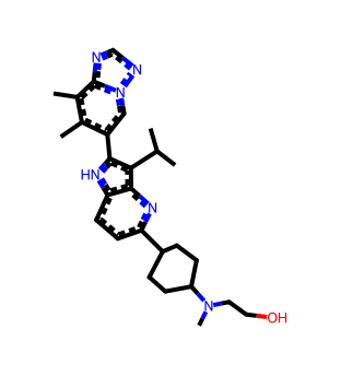 Cc1c(-c2[nH]c3ccc(C4CCC(N(C)CCO)CC4)nc3c2C(C)C)cn2ncnc2c1C